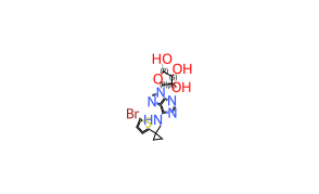 OC[C@H]1O[C@@H](n2cnc3c(NCC4(c5ccc(Br)s5)CC4)ncnc32)[C@H](O)[C@@H]1O